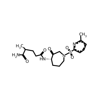 C[C](CCC(=O)N[C@H]1CCCN(S(=O)(=O)c2cccc(C)n2)CC1=O)C(N)=O